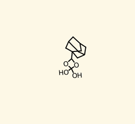 OC1(O)OC(C23CC4CC(CC(C4)C2)C3)O1